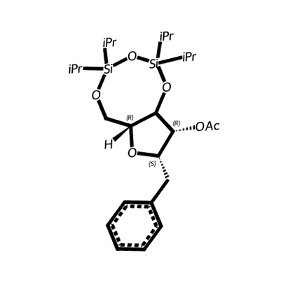 CC(=O)O[C@H]1C2O[Si](C(C)C)(C(C)C)O[Si](C(C)C)(C(C)C)OC[C@H]2O[C@H]1Cc1ccccc1